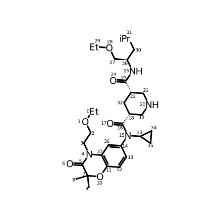 CCOCCN1C(=O)C(C)(C)Oc2ccc(N(C(=O)[C@H]3CNC[C@@H](C(=O)N[C@@H](COCC)CC(C)C)C3)C3CC3)cc21